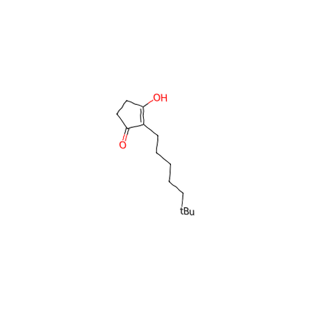 CC(C)(C)CCCCCC1=C(O)CCC1=O